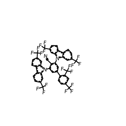 N#Cc1c(-n2c3cc(C(F)(F)F)ccc3c3ccc(C(F)(F)F)cc32)cc(-c2ccc(C(F)(F)F)cc2C(F)(F)F)cc1-n1c2cc(C(F)(F)F)ccc2c2ccc(C(F)(F)F)cc21